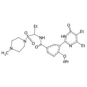 CCCOc1ccc(C(=O)NC(CC)S(=O)(=O)N2CCN(C)CC2)cc1-c1nc(CC)c(CC)c(=O)[nH]1